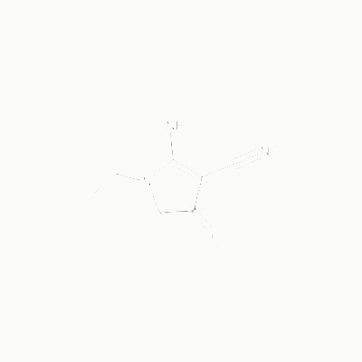 CCN1CC(=O)C(C#N)=C1N